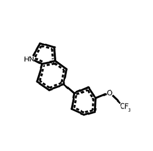 FC(F)(F)Oc1cccc(-c2ccc3[nH]ccc3c2)c1